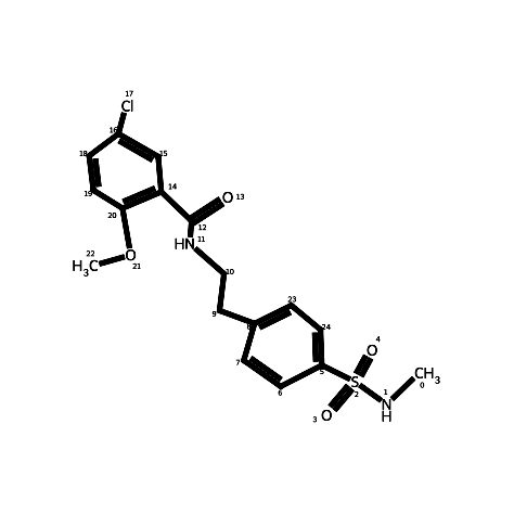 CNS(=O)(=O)c1ccc(CCNC(=O)c2cc(Cl)ccc2OC)cc1